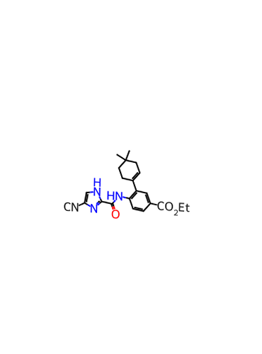 [C-]#[N+]c1c[nH]c(C(=O)Nc2ccc(C(=O)OCC)cc2C2=CCC(C)(C)CC2)n1